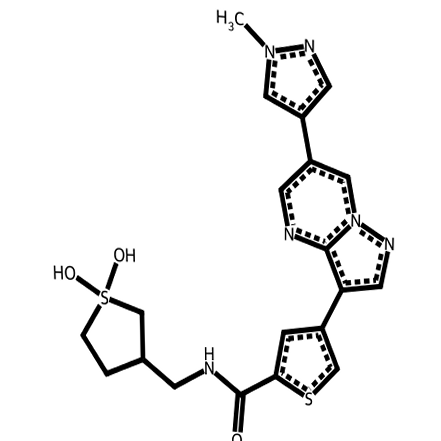 Cn1cc(-c2cnc3c(-c4csc(C(=O)NCC5CCS(O)(O)C5)c4)cnn3c2)cn1